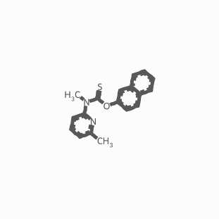 Cc1cccc(N(C)C(=S)Oc2ccc3ccccc3c2)n1